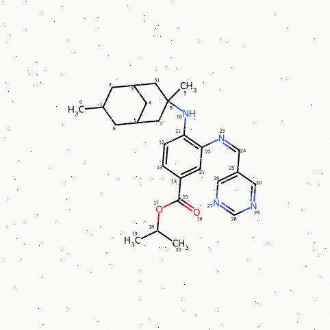 CC1CC2CC(C1)CC(C)(Nc1ccc(C(=O)OC(C)C)cc1/N=C\c1cncnc1)C2